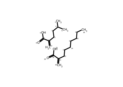 C=C(CCC(C)C)C(=O)O.C=C(CCCCCCC)C(=O)O